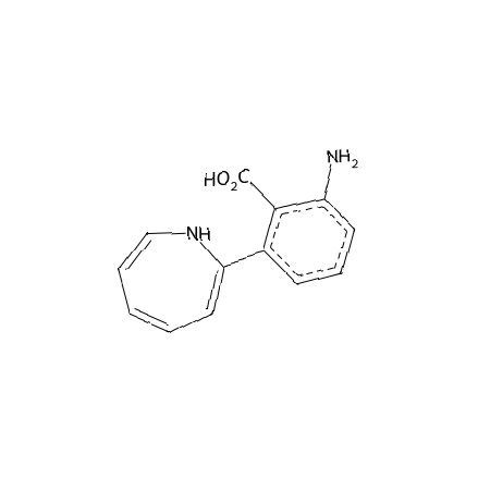 Nc1cccc(C2=CC=CC=CN2)c1C(=O)O